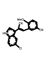 COc1ccc(C#N)cc1C=C(C#N)c1c[nH]c2ccc(Cl)cc12